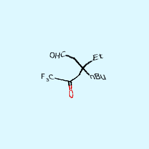 CCCCC(C=O)(CC)C(=O)C(F)(F)F